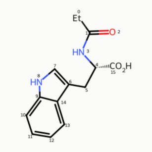 CCC(=O)N[C@@H](Cc1c[nH]c2ccccc12)C(=O)O